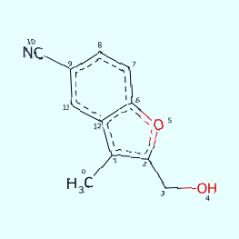 Cc1c(CO)oc2ccc(C#N)cc12